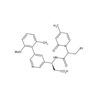 COc1cccc(C)c1-c1cncc([C@H](CC(=O)O)NC(=O)C(CC(C)C)n2ccc(C)cc2=O)c1